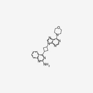 Nc1nc(C2CC(n3cnc4c(N5CCOCC5)ncnc43)C2)c2ccccc2n1